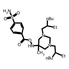 CCCCC(CC)CN1CN(CC(CC)CCCC)CC(C)(NOC(=O)c2ccc(S(N)(=O)=O)cc2)C1